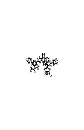 CCC(Nc1cnc(-c2nc(N3CCOCC3)nc3c2ncn3C(C)C(C)C)cn1)n1cnc2c(-c3cnc(N)cn3)nc(N3CCOCC3)nc21